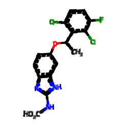 CC(Oc1ccc2nc(NC(=O)O)[nH]c2c1)c1c(Cl)ccc(F)c1Cl